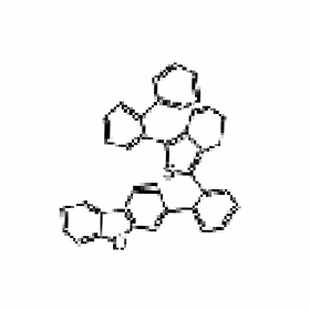 c1c(-c2ccccc2-c2sc(-c3ccccc3-c3ccccc3)c3c2CCC=C3)cc2oc3ccccc3c2c#1